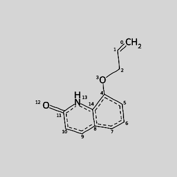 C=CCOc1cccc2ccc(=O)[nH]c12